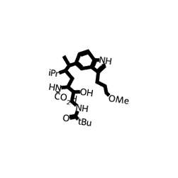 COCCCc1c[nH]c2ccc(C(C)C(CC(NC(=O)O)C(O)CNC(=O)C(C)(C)C)C(C)C)cc12